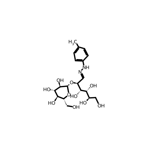 Cc1ccc(NN=C[C@H](O[C@@H]2O[C@H](CO)[C@@H](O)[C@H](O)[C@H]2O)[C@@H](O)[C@H](O)[C@H](O)CO)cc1